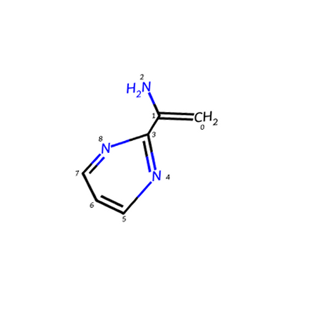 C=C(N)c1ncccn1